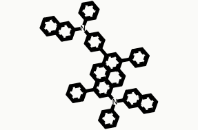 c1ccc(-c2cc(-c3ccc(N(c4ccccc4)c4ccc5ccccc5c4)cc3)c3ccc4c(-c5ccccc5)cc(N(c5ccccc5)c5ccc6ccccc6c5)c5ccc2c3c45)cc1